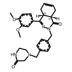 COc1ccc(C2=NN(Cc3ccc(CN4CCNC(=O)C4)cc3)C(=O)[C@H]3CC=CC[C@@H]23)cc1OC